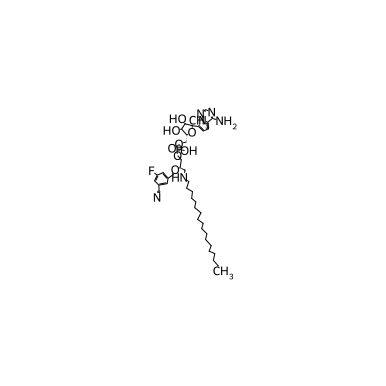 CCCCCCCCCCCCCCCCCCNC[C@H](COP(=O)(O)OC[C@H]1O[C@@](C)(c2ccc3c(N)ncnn23)[C@H](O)[C@@H]1O)OCc1cc(F)cc(C#N)c1